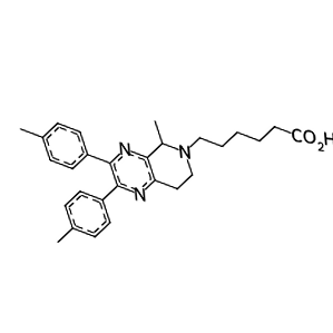 Cc1ccc(-c2nc3c(nc2-c2ccc(C)cc2)C(C)N(CCCCCC(=O)O)CC3)cc1